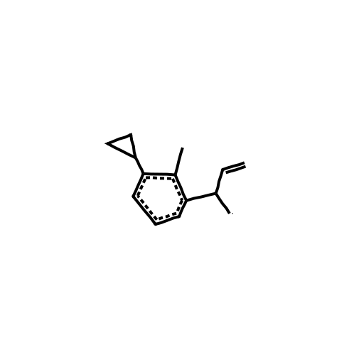 [CH2]C(C=C)c1cccc(C2CC2)c1C